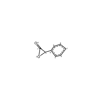 O=C1OC1c1ccccc1